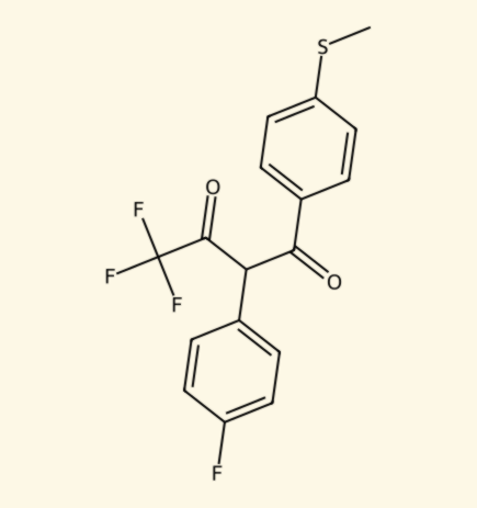 CSc1ccc(C(=O)C(C(=O)C(F)(F)F)c2ccc(F)cc2)cc1